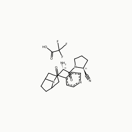 N#C[C@@H]1CCCN1C(=O)[C@@H](N)C1CC2CCC(C1)N2C(=O)c1ccncc1.O=C(O)C(F)(F)F